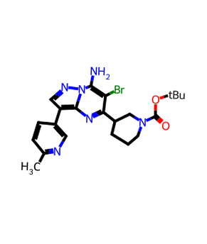 Cc1ccc(-c2cnn3c(N)c(Br)c(C4CCCN(C(=O)OC(C)(C)C)C4)nc23)cn1